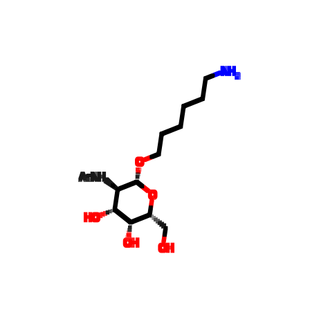 CC(=O)N[C@H]1[C@H](OCCCCCCN)O[C@H](CO)[C@H](O)[C@@H]1O